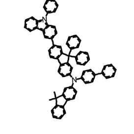 CC1(C)c2ccccc2-c2ccc(N(c3ccc(-c4ccccc4)cc3)c3ccc4c(c3)C(c3ccccc3)(c3ccccc3)c3cc(-c5ccc6c(c5)c5ccccc5n6-c5ccccc5)ccc3-4)cc21